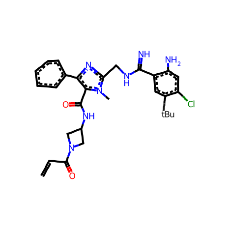 C=CC(=O)N1CC(NC(=O)c2c(-c3ccccc3)nc(CNC(=N)c3cc(C(C)(C)C)c(Cl)cc3N)n2C)C1